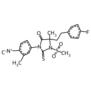 [C-]#[N+]c1ccc(N2C(=O)C(C)(CCc3ccc(F)cc3)N(S(C)(=O)=O)C2=S)cc1C